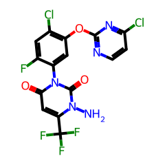 Nn1c(C(F)(F)F)cc(=O)n(-c2cc(Oc3nccc(Cl)n3)c(Cl)cc2F)c1=O